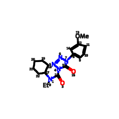 CCN(C(=O)n1nnn(-c2cccc(OC)c2)c1=O)C1CCCCC1